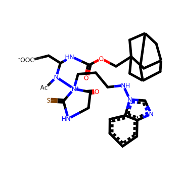 CC(=O)N(C(CC(=O)[O-])NC(=O)OCC12CC3CC(CC(C3)C1)C2)[N+]1(CCCNn2cnc3ccccc32)C(=O)CNC1=S